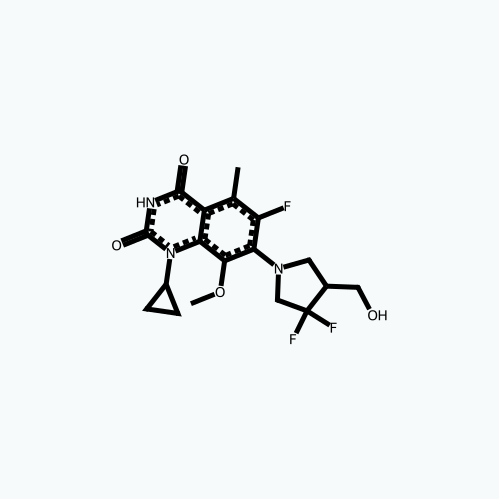 COc1c(N2CC(CO)C(F)(F)C2)c(F)c(C)c2c(=O)[nH]c(=O)n(C3CC3)c12